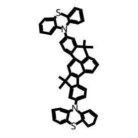 CC1(C)c2cc(N3C4=C(CCC=C4)Sc4ccccc43)ccc2-c2c1cc1c3c(cccc23)C(C)(C)c2cc(N3c4ccccc4Sc4ccccc43)ccc2-1